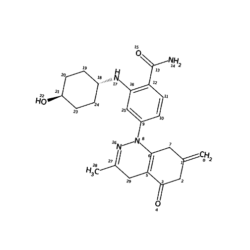 C=C1CC(=O)C2=C(C1)N(c1ccc(C(N)=O)c(N[C@H]3CC[C@H](O)CC3)c1)N=C(C)C2